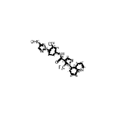 O=Cc1cnn(-c2ccc(NC(=O)c3cnn(-c4cccc5ncccc45)c3C(F)(F)F)cc2Cl)n1